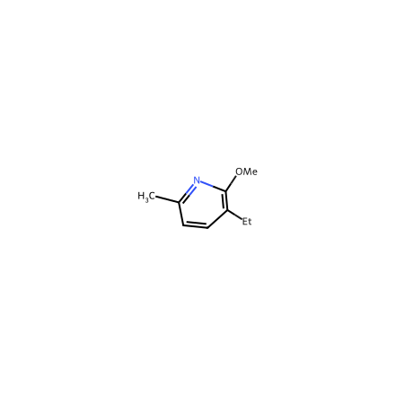 CCc1ccc(C)nc1OC